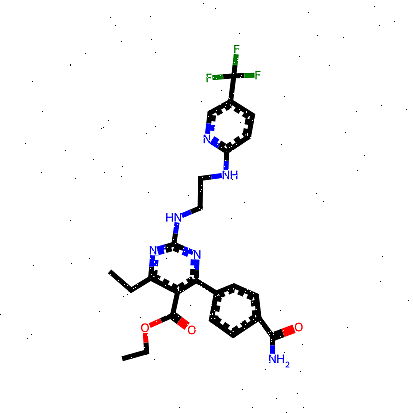 CCOC(=O)c1c(CC)nc(NCCNc2ccc(C(F)(F)F)cn2)nc1-c1ccc(C(N)=O)cc1